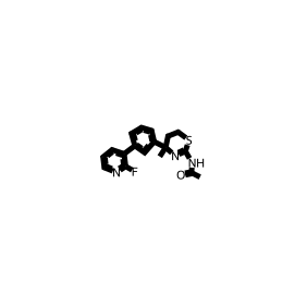 CC(=O)NC1=NC(C)(c2cccc(-c3cccnc3F)c2)CCS1